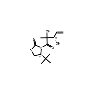 C=C[C@H](O)C(C)(O)C(=O)N1C(=S)SC[C@@H]1C(C)(C)C